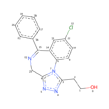 OCCc1nnc2n1-c1ccc(Cl)cc1C(c1ccccc1)=NC2